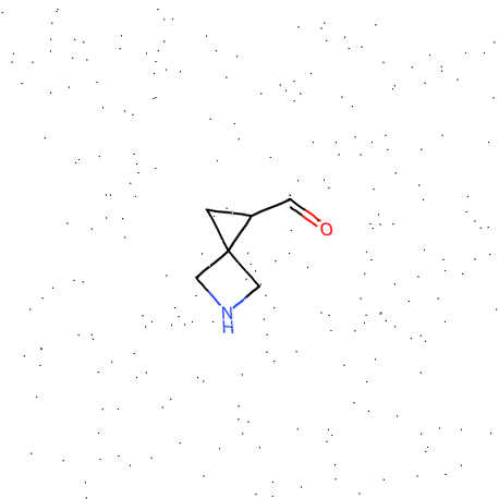 O=[C]C1CC12CNC2